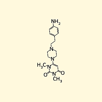 Cn1c(N2CCN(CCc3ccc(N)cc3)CC2)cc(=O)n(C)c1=O